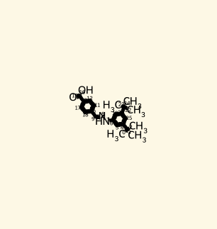 CC(C)(C)c1cc(NN=Cc2ccc(C(=O)O)cc2)cc(C(C)(C)C)c1